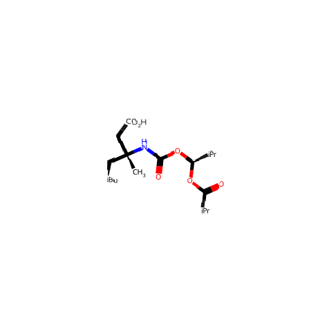 CC[C@H](C)C[C@](C)(CC(=O)O)NC(=O)O[C@H](OC(=O)C(C)C)C(C)C